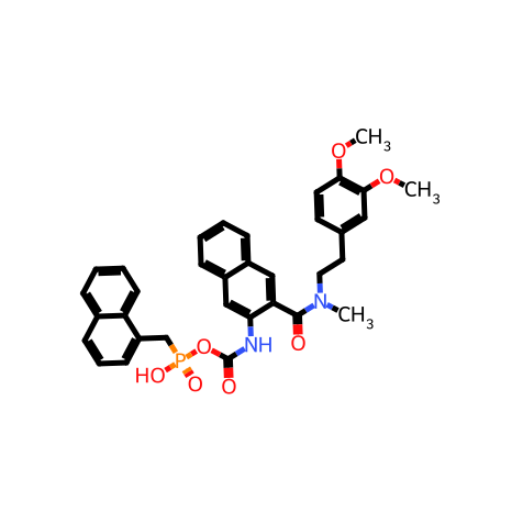 COc1ccc(CCN(C)C(=O)c2cc3ccccc3cc2NC(=O)OP(=O)(O)Cc2cccc3ccccc23)cc1OC